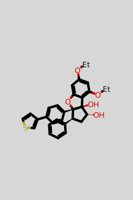 CCOc1cc(OCC)c2c(c1)O[C@@]1(c3ccc(-c4ccsc4)cc3)[C@H](c3ccccc3)C[C@@H](O)[C@@]21O